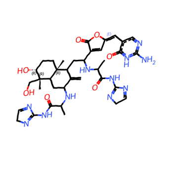 C=C1C(NC(C)C(=O)NC2=NCC=N2)CC2[C@](C)(CC[C@@H](O)[C@@]2(C)CO)C1CC(NC(C)C(=O)NC1=NCC=N1)C1=C/C(=C\c2cnc(N)[nH]c2=O)OC1=O